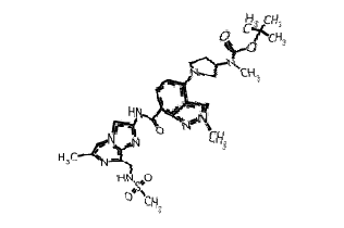 Cc1cn2cc(NC(=O)c3ccc(N4CCC(N(C)C(=O)OC(C)(C)C)C4)c4cn(C)nc34)nc2c(CNS(C)(=O)=O)n1